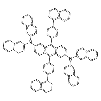 C1=CC2=CC(N(c3ccc4ccccc4c3)c3ccc4c(-c5ccc(C6=c7ccccc7=CCC6)cc5)c5cc(N(c6ccc7ccccc7c6)c6ccc7ccccc7c6)ccc5c(-c5ccc(-c6cccc7ccccc67)cc5)c4c3)=CCC2C=C1